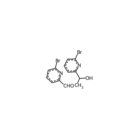 CC(O)c1cccc(Br)n1.O=Cc1cccc(Br)n1